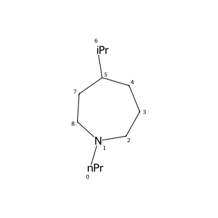 CCCN1CCCC(C(C)C)CC1